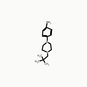 CC(C)(C)CN1CCN(c2ccc(N)cc2)CC1